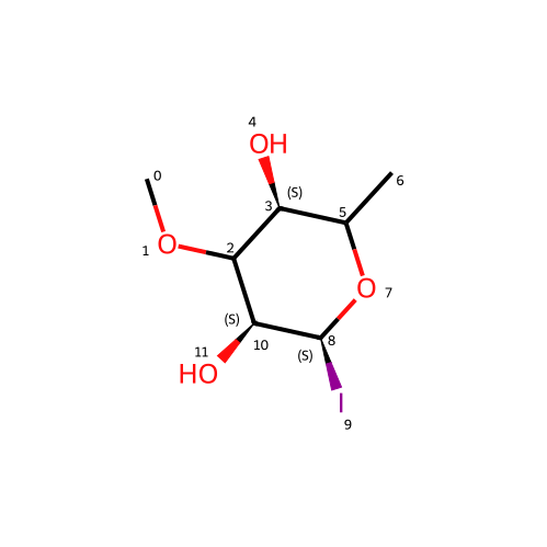 COC1[C@@H](O)C(C)O[C@@H](I)[C@H]1O